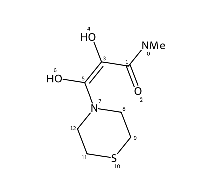 CNC(=O)/C(O)=C(/O)N1CCSCC1